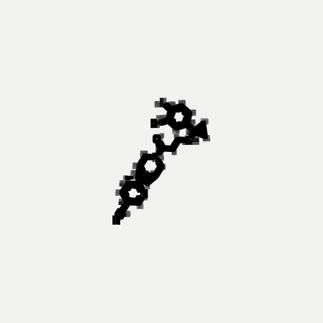 C[C@H]1CC2CN(C(=O)CCNC3(c4ccc(F)c(Br)c4)CC3)CC1N2c1ccc(C#N)cn1